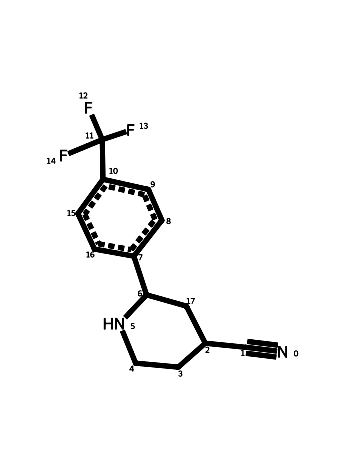 N#CC1CCNC(c2ccc(C(F)(F)F)cc2)C1